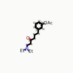 CCN(CC)CCC(=O)CCCc1cccc(OC(C)=O)c1